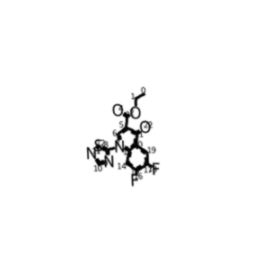 CCOC(=O)c1cn(-c2ncns2)c2cc(F)c(F)cc2c1=O